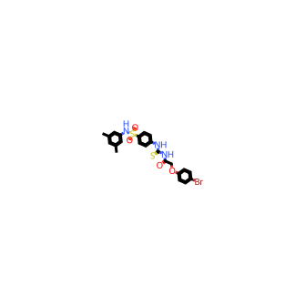 Cc1cc(C)cc(NS(=O)(=O)c2ccc(NC(=S)NC(=O)COc3ccc(Br)cc3)cc2)c1